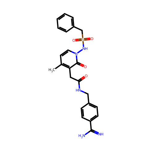 Cc1ccn(NS(=O)(=O)Cc2ccccc2)c(=O)c1CC(=O)NCc1ccc(C(=N)N)cc1